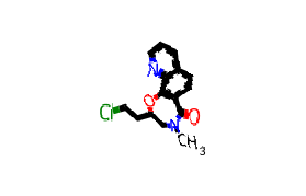 CN1CC(CCCl)Oc2c(ccc3cccnc23)C1=O